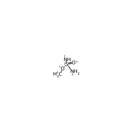 COS(=N)(N)=O